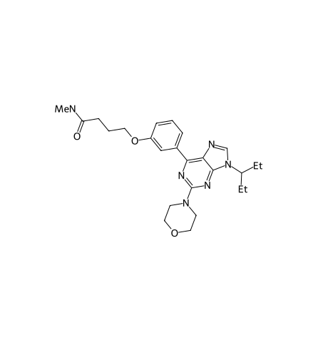 CCC(CC)n1cnc2c(-c3cccc(OCCCC(=O)NC)c3)nc(N3CCOCC3)nc21